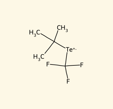 CC(C)(C)[Te+]C(F)(F)F